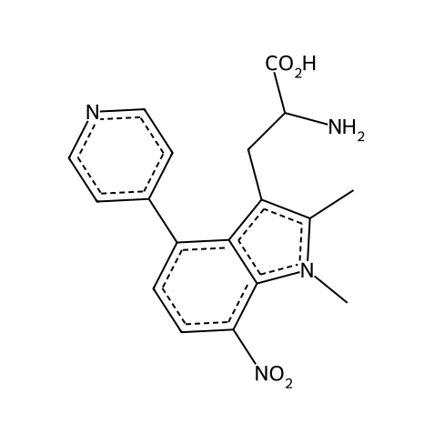 Cc1c(CC(N)C(=O)O)c2c(-c3ccncc3)ccc([N+](=O)[O-])c2n1C